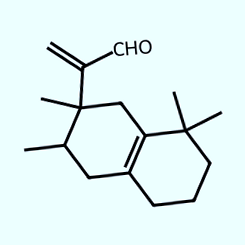 C=C(C=O)C1(C)CC2=C(CCCC2(C)C)CC1C